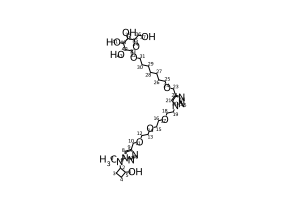 CN(C1CCC1O)n1cc(COCCOCCOCCn2cc(COCCCCCCCOC3OC(CO)C(O)C(O)C3O)nn2)nn1